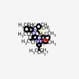 CC(C)(C)c1ccc(N2c3cc4c(cc3B3c5sc6c(c5N(c5ccc7c(c5)C(C)(C)CCC7(C)C)c5cc(C(C)(C)C)cc2c53)C(C)(C)CCC6(C)C)C(C)(C)CCC4(C)C)c(-c2ccccc2)c1